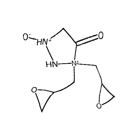 O=C1C[NH+]([O-])N[N+]1(CC1CO1)CC1CO1